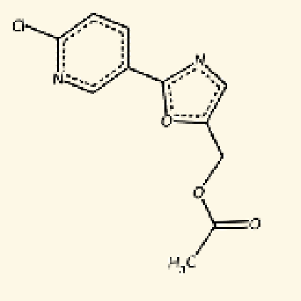 CC(=O)OCc1cnc(-c2ccc(Cl)nc2)o1